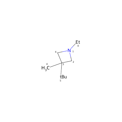 CCN1CC(C)(C(C)(C)C)C1